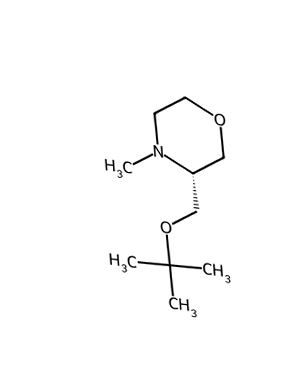 CN1CCOC[C@@H]1COC(C)(C)C